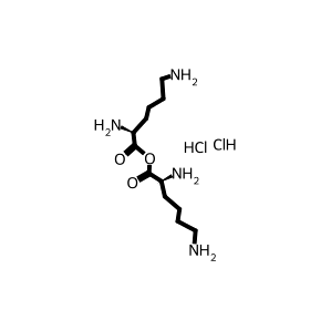 Cl.Cl.NCCCC[C@H](N)C(=O)OC(=O)[C@@H](N)CCCCN